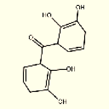 O=C(C1C=CCC(O)=C1O)C1C=CCC(O)=C1O